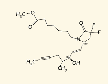 CC#CCC(C)[C@H](O)C=C[C@H]1CC(F)(F)C(=O)N1CCCCCCC(=O)OC